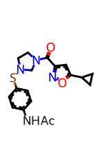 CC(=O)Nc1ccc(SN2CCN(C(=O)c3cc(C4CC4)on3)C2)cc1